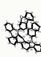 c1ccc(-c2ccccc2N(c2ccc3c(c2)oc2ccccc23)c2ccc3ccc4c5ccccc5n(-c5ccc6ccccc6c5)c4c3c2)cc1